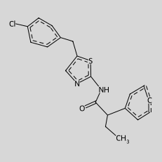 CCC(C(=O)Nc1ncc(Cc2ccc(Cl)cc2)s1)c1ccccc1